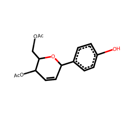 CC(=O)OCC1OC(c2ccc(O)cc2)C=CC1OC(C)=O